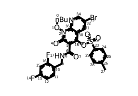 CCCCOn1c(=O)c(C(=O)NCc2ccc(F)cc2F)c(OS(=O)(=O)c2ccc(C)cc2)c2cc(Br)cnc21